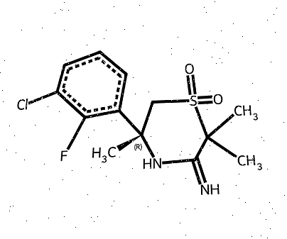 CC1(C)C(=N)N[C@](C)(c2cccc(Cl)c2F)CS1(=O)=O